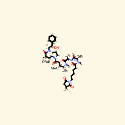 CCC1CC(=O)N(CCCCCC(=O)N(C)[C@H](C(=O)N[C@H](C(=O)N(C)[C@@H]([C@@H](C)CC)[C@@H](CC(=O)N2CCC[C@H]2[C@H](OC)[C@@H](C)C(=O)N[C@H](C)[C@@H](O)c2ccccc2)OC)C(C)C)C(C)C)C1=O